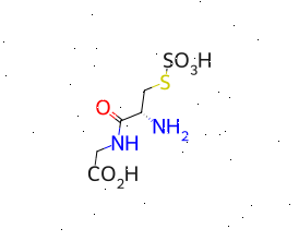 N[C@@H](CSS(=O)(=O)O)C(=O)NCC(=O)O